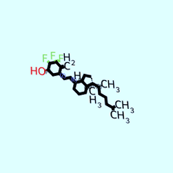 C=C1/C(=C\C=C2/CCC[C@]3(C)[C@@H]([C@H](C)CCCC(C)C)CC[C@@H]23)C[C@@H](O)C(F)C1(F)F